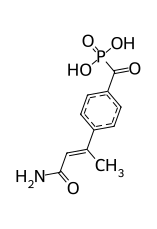 C/C(=C\C(N)=O)c1ccc(C(=O)P(=O)(O)O)cc1